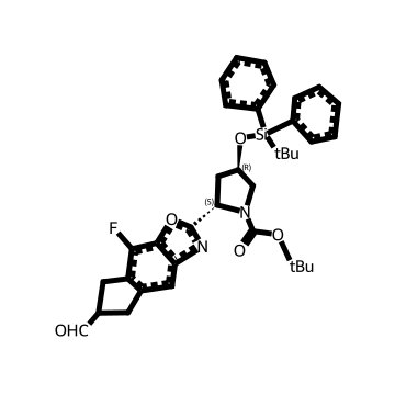 CC(C)(C)OC(=O)N1C[C@H](O[Si](c2ccccc2)(c2ccccc2)C(C)(C)C)C[C@H]1c1nc2cc3c(c(F)c2o1)CC(C=O)C3